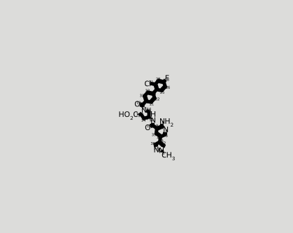 Cn1cc(-c2cnc(N)c(C(=O)N[C@@H]3C[C@H](C(=O)O)N(C(=O)c4ccc(-c5ccc(F)cc5Cl)cc4)C3)c2)cn1